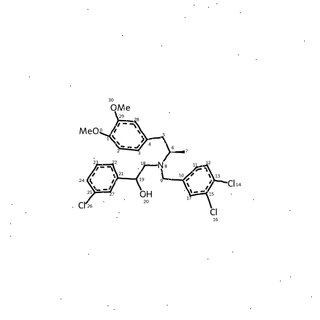 COc1ccc(C[C@@H](C)N(Cc2ccc(Cl)c(Cl)c2)CC(O)c2cccc(Cl)c2)cc1OC